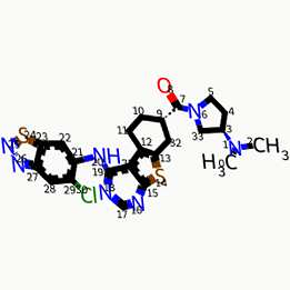 CN(C)[C@@H]1CCN(C(=O)[C@H]2CCc3c(sc4ncnc(Nc5cc6snnc6cc5Cl)c34)C2)C1